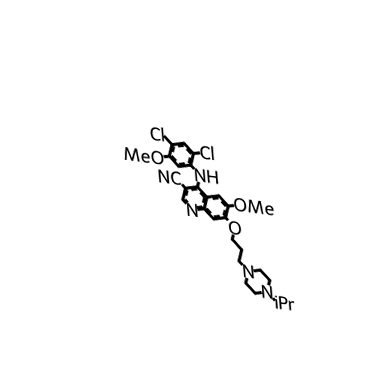 COc1cc(Nc2c(C#N)cnc3cc(OCCCN4CCN(C(C)C)CC4)c(OC)cc23)c(Cl)cc1Cl